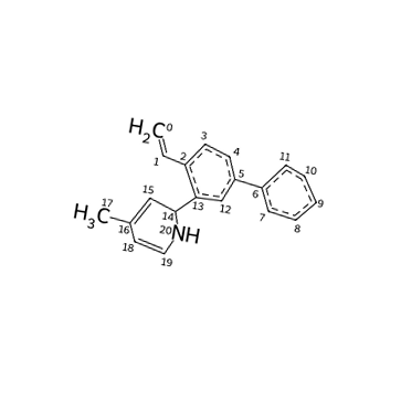 C=Cc1ccc(-c2ccccc2)cc1C1C=C(C)C=CN1